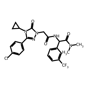 CN(C)C(=O)C(NC(=O)Cn1nc(-c2ccc(Cl)cc2)n(C2CC2)c1=O)c1cccc(C(F)(F)F)c1